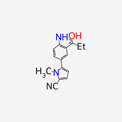 CCC(O)c1cc(-c2ccc(C#N)n2C)ccc1N